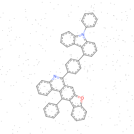 c1ccc(-c2c3c(cc4c(-c5ccc(-c6cccc7c6c6ccccc6n7-c6ccccc6)cc5)nc5ccccc5c24)oc2ccccc23)cc1